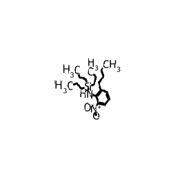 CCCCc1cccc([N+](=O)[O-])c1N[Si](CCC)(CCC)CCC